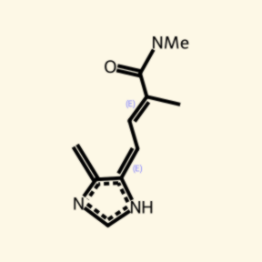 C=c1nc[nH]/c1=C/C=C(\C)C(=O)NC